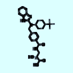 CC(C)(C)C1CCC(N(Cc2ccc(C(=O)NC[C@@H](O)C(=O)O)cc2)c2nc3ccccc3[nH]2)CC1